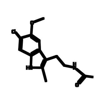 COc1cc2c(CCNC(C)=O)c(C)[nH]c2cc1Cl